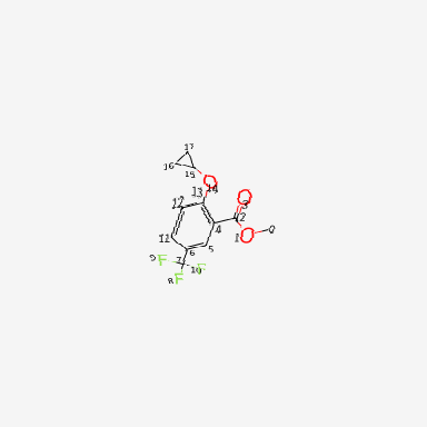 COC(=O)c1cc(C(F)(F)F)ccc1OC1CC1